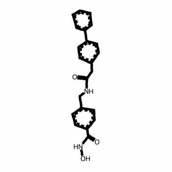 O=C(Cc1ccc(-c2ccccc2)cc1)NCc1ccc(C(=O)NO)cc1